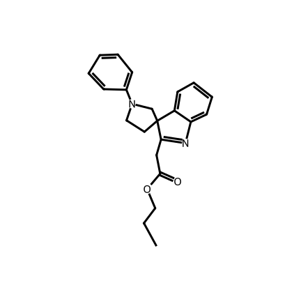 CCCOC(=O)CC1=Nc2ccccc2C12CCN(c1ccccc1)C2